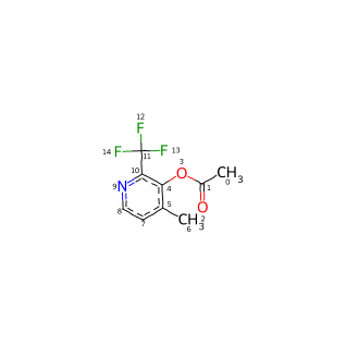 CC(=O)Oc1c(C)ccnc1C(F)(F)F